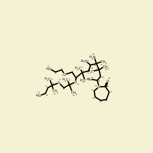 CC(=O)OC(CC(C)(C)C(COCCO)OC(C)(C)COC(C)(C)CCO)C(C)(N)C(C)(C)CC(N1CCCCCC1=O)C(C)(C)C